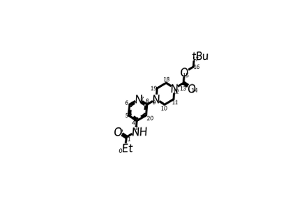 CCC(=O)Nc1ccnc(N2CCN(C(=O)OCC(C)(C)C)CC2)c1